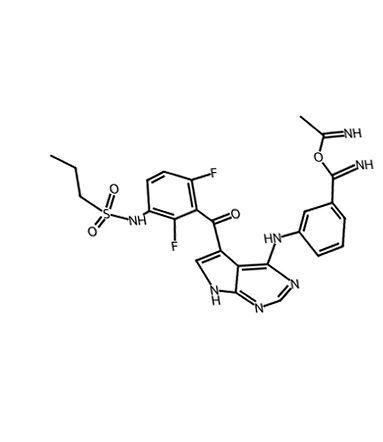 CCCS(=O)(=O)Nc1ccc(F)c(C(=O)c2c[nH]c3ncnc(Nc4cccc(C(=N)OC(C)=N)c4)c23)c1F